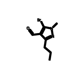 CCCc1nn(C)c(Br)c1C=O